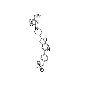 CCCc1noc(N2CCC(C3Cc4cc(-c5ccc(CS(C)(=O)=O)cc5)ncc4O3)CC2)n1